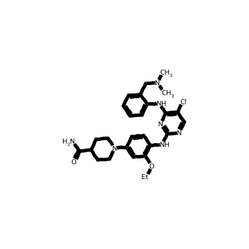 CCOc1cc(N2CCC(C(N)=O)CC2)ccc1Nc1ncc(Cl)c(Nc2ccccc2CN(C)C)n1